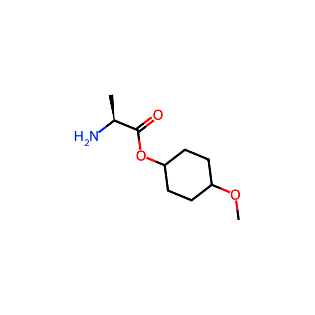 COC1CCC(OC(=O)[C@H](C)N)CC1